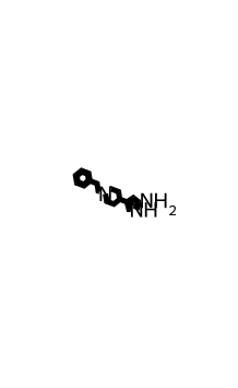 Nc1cc(C2CCN(CCc3ccccc3)CC2)c[nH]1